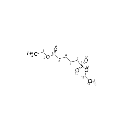 CCOC(=O)CCCCS(=O)(=O)OCC